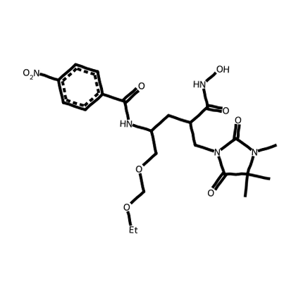 CCOCOCC(CC(CN1C(=O)N(C)C(C)(C)C1=O)C(=O)NO)NC(=O)c1ccc([N+](=O)[O-])cc1